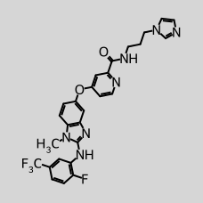 Cn1c(Nc2cc(C(F)(F)F)ccc2F)nc2cc(Oc3ccnc(C(=O)NCCCn4ccnc4)c3)ccc21